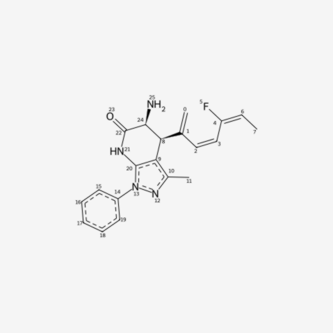 C=C(/C=C\C(F)=C/C)[C@H]1c2c(C)nn(-c3ccccc3)c2NC(=O)[C@H]1N